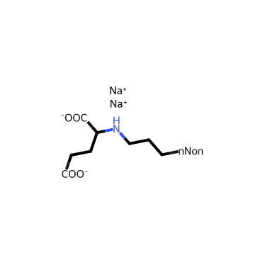 CCCCCCCCCCCCNC(CCC(=O)[O-])C(=O)[O-].[Na+].[Na+]